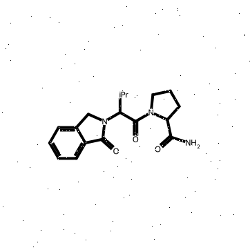 CC(C)C(C(=O)N1CCCC1C(N)=O)N1Cc2ccccc2C1=O